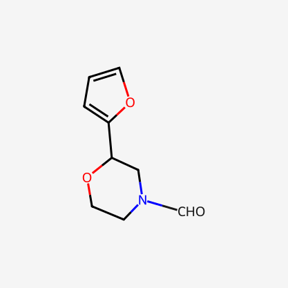 O=CN1CCOC(c2ccco2)C1